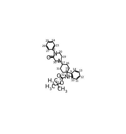 CC(C)(C)OC(=O)NC1(c2ccccc2)CCC(N2CCN(c3ccccc3)C(=O)C2)CC1